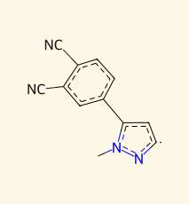 Cn1n[c]cc1-c1ccc(C#N)c(C#N)c1